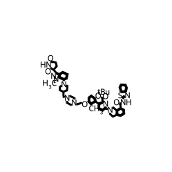 Cc1c(OCCN2CCN(CC3CCN(c4cccc5c(C6CCC(=O)NC6=O)nn(C)c45)CC3)CC2)cccc1-c1ccc(N2CCc3cccc(C(=O)Nc4nc5ccccc5s4)c3C2)nc1C(=O)OC(C)(C)C